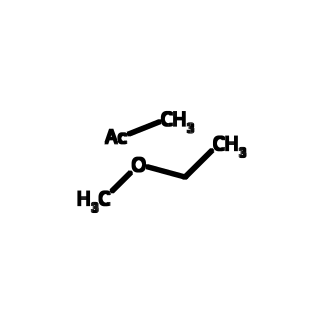 CC(C)=O.CCOC